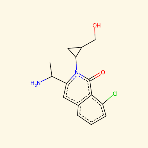 CC(N)c1cc2cccc(Cl)c2c(=O)n1C1CC1CO